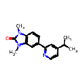 CC(C)c1ccnc(-c2ccc3c(c2)n(C)c(=O)n3C)c1